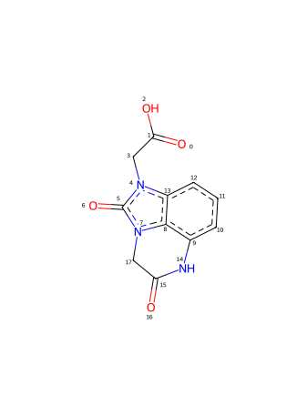 O=C(O)Cn1c(=O)n2c3c(cccc31)NC(=O)C2